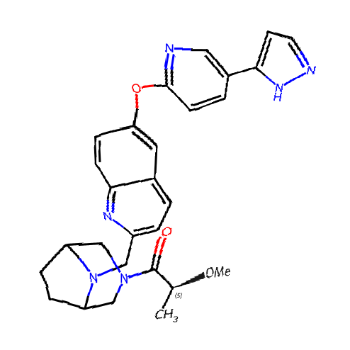 CO[C@@H](C)C(=O)N1CC2CCC(C1)N2Cc1ccc2cc(Oc3ccc(-c4ccn[nH]4)cn3)ccc2n1